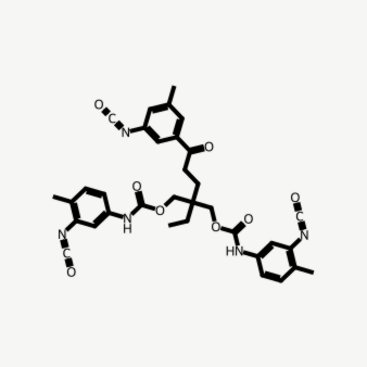 CCC(CCC(=O)c1cc(C)cc(N=C=O)c1)(COC(=O)Nc1ccc(C)c(N=C=O)c1)COC(=O)Nc1ccc(C)c(N=C=O)c1